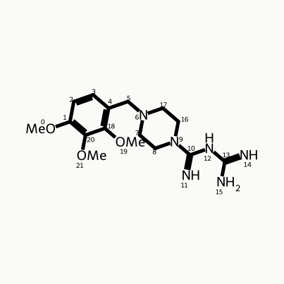 COc1ccc(CN2CCN(C(=N)NC(=N)N)CC2)c(OC)c1OC